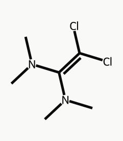 CN(C)C(=C(Cl)Cl)N(C)C